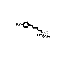 CC[Si](CC)(CCCCCc1ccc(C(F)(F)F)cc1)OC